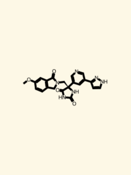 COc1ccc2c(c1)C(=O)N(C[C@@]1(c3cncc(-c4cc[nH]n4)c3)NC(=O)NC1=O)C2